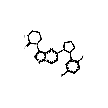 O=C1NCCCN1c1cnn2ccc(N3CCCC3c3cc(F)ccc3F)nc12